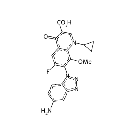 COc1c(-n2nnc3cc(N)ccc32)c(F)cc2c(=O)c(C(=O)O)cn(C3CC3)c12